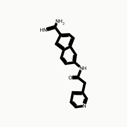 N=C(N)c1ccc2cc(NC(=O)Cc3cccnc3)ccc2c1